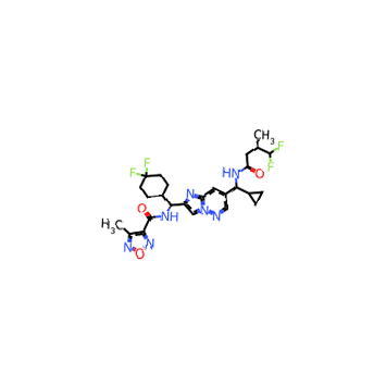 Cc1nonc1C(=O)N[C@H](c1cn2ncc(C(NC(=O)C[C@@H](C)C(F)F)C3CC3)cc2n1)C1CCC(F)(F)CC1